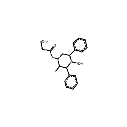 CCCCCCCCCCCC(=O)OC1CC(c2ccccc2)N(O)C(c2ccccc2)C1C